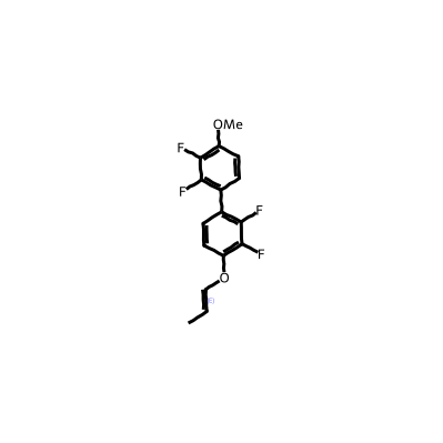 C/C=C/Oc1ccc(-c2ccc(OC)c(F)c2F)c(F)c1F